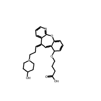 O=C(O)CCCOC1C=CC=C2Oc3ncccc3C(=CCCN3CCC(O)CC3)C=C21